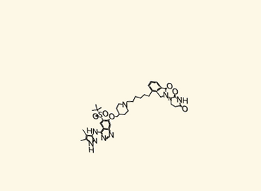 Cc1[nH]nc(Nc2ncnc3cc(OCC4CCN(CCCCCCc5cccc6c5CN([C@H]5CCC(=O)NC5=O)C6=O)CC4)c(S(=O)(=O)C(C)(C)C)cc23)c1C